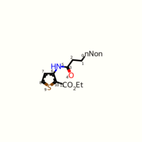 CCCCCCCCCCCC(=O)Nc1ccsc1C(=O)OCC